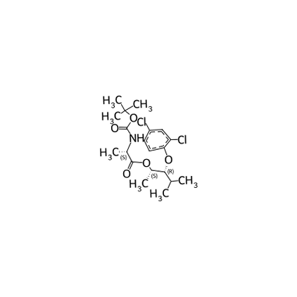 CC(C)[C@@H](Oc1ccc(Cl)cc1Cl)[C@H](C)OC(=O)[C@H](C)NC(=O)OC(C)(C)C